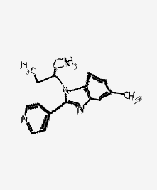 CCC(C)n1c(-c2ccncc2)nc2cc(C)ccc21